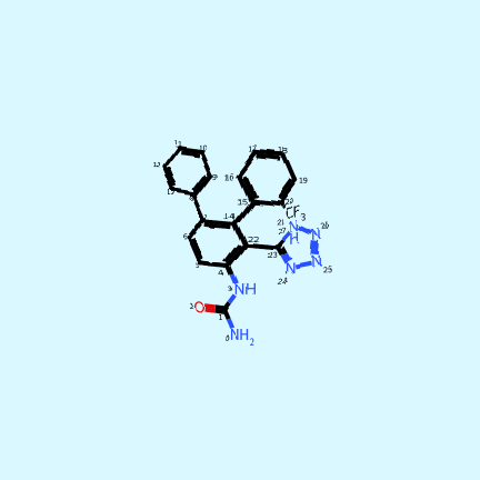 NC(=O)Nc1ccc(-c2ccccc2)c(-c2ccccc2C(F)(F)F)c1-c1nnn[nH]1